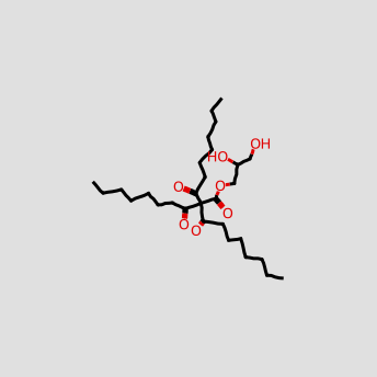 CCCCCCCC(=O)C(C(=O)CCCCCCC)(C(=O)CCCCCCC)C(=O)OCC(O)CO